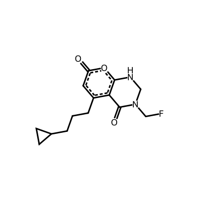 O=C1c2c(CCCC3CC3)cc(=O)oc2NCN1CF